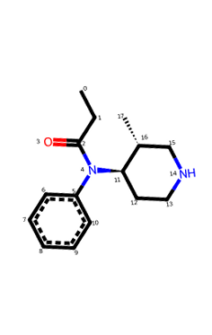 CCC(=O)N(c1ccccc1)[C@@H]1CCNC[C@H]1C